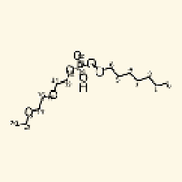 CCCCCCCOOP(=O)(O)OCCOCCOCC